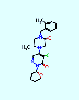 Cc1ccccc1CN1C[C@@H](C)N(c2cnn(C3CCCCO3)c(=O)c2Cl)CC1=O